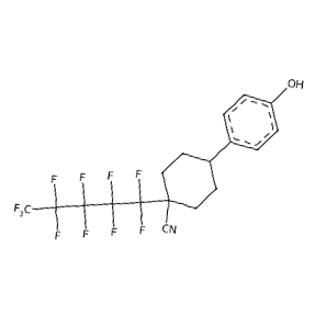 N#CC1(C(F)(F)C(F)(F)C(F)(F)C(F)(F)C(F)(F)F)CCC(c2ccc(O)cc2)CC1